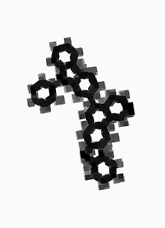 c1ccc(-n2c3ccccc3c3ccc(-c4cc5cc6sc7ccccc7c6cc5c5cnccc45)cc32)cc1